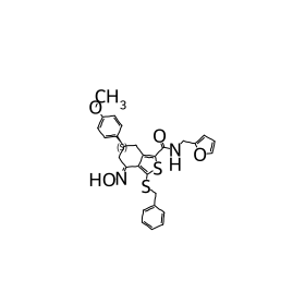 COc1ccc([C@@H]2CC(=NO)c3c(SCc4ccccc4)sc(C(=O)NCc4ccco4)c3C2)cc1